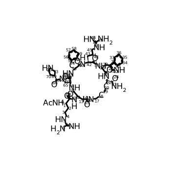 CC(=O)N[C@@H](CCCNC(=N)N)C(=O)N[C@H]1CC(=O)NCCCC[C@@H](C(N)=O)NC(=O)[C@H](Cc2c[nH]c3ccccc23)NC(=O)[C@H](CCCNC(=N)N)NC(=O)[C@@H](Cc2ccccc2)NC(=O)[C@H](CNC(=O)[C@H]2CCNC2)NC1=O